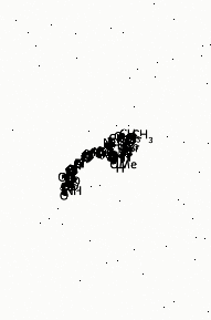 COc1cc(N2CCN(CC3CCN(C4CN(c5ccc6c(c5)C(=O)N(C5CCC(=O)NC5=O)C6=O)C4)CC3)CC2)c(-c2cnn(C)c2)cc1Nc1ncc(Br)c(Nc2ccc(C)cc2P(C)(C)=O)n1